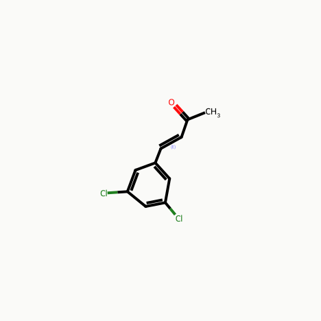 CC(=O)/C=C/c1cc(Cl)cc(Cl)c1